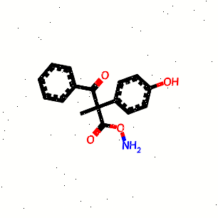 CC(C(=O)ON)(C(=O)c1ccccc1)c1ccc(O)cc1